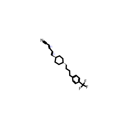 N#C/C=C/C=C/[C@H]1CC[C@H](CCCCc2ccc(C(F)(F)F)cc2)CC1